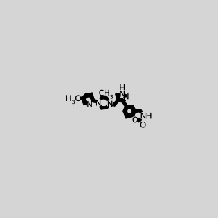 Cc1ccc(N2CCN(Cc3c[nH]nc3-c3ccc4c(c3)CNC(=O)O4)C[C@H]2C)nc1